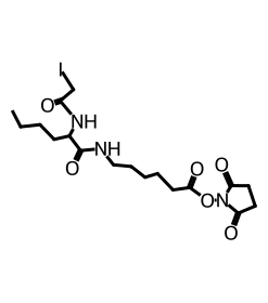 CCCCC(NC(=O)CI)C(=O)NCCCCCC(=O)ON1C(=O)CCC1=O